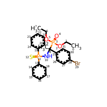 CCOP(=O)(OCC)[C@@](C)(NP(=S)(c1ccccc1)c1ccccc1)c1ccc(Br)cc1